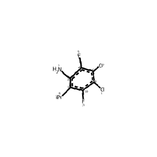 CC(C)c1c(N)c(F)c(Cl)c(Cl)c1F